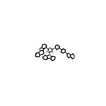 c1cc(-c2ccc(-c3ccc4ccccc4c3)cc2)cc(-c2nc(-c3cccc4sc5c6ccccc6ccc5c34)nc(-n3c4ccccc4c4ccccc43)n2)c1